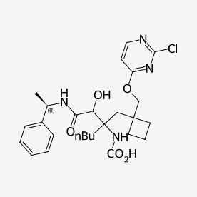 CCCCC(CC1(COc2ccnc(Cl)n2)CCC1)(NC(=O)O)C(O)C(=O)N[C@H](C)c1ccccc1